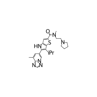 Cc1cc(-c2[nH]c3cc(C(=O)N(C)CCN4CCCC4)sc3c2C(C)C)cn2ncnc12